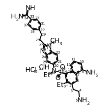 CCc1c(CCN)cc2c(N)cccc2c1S(=O)(=O)N(CC)c1ccc2c(c1)nc(CCc1ccc(C(=N)N)cc1)n2C.Cl.Cl